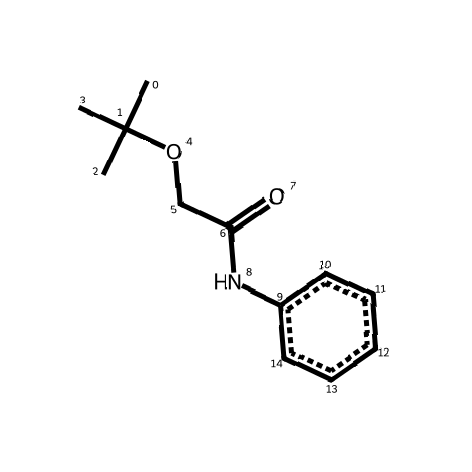 CC(C)(C)OCC(=O)Nc1ccccc1